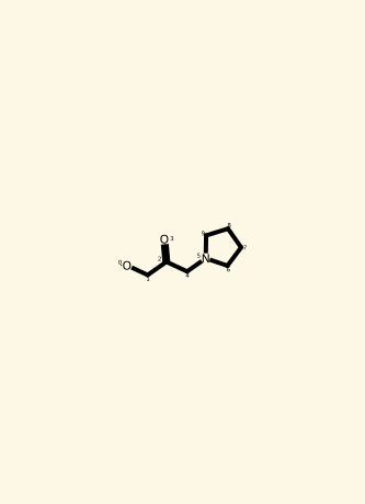 [O]CC(=O)CN1CCCC1